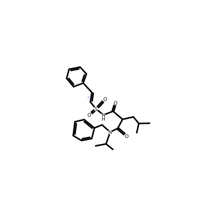 CC(C)CC(C(=O)NS(=O)(=O)/C=C/c1ccccc1)C(=O)N(Cc1ccccc1)C(C)C